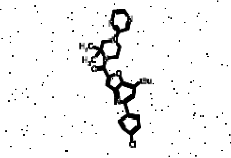 CC(C)(C)c1cc(-c2ccc(Cl)cc2)nc2cc(C(=O)N3CCN(c4cnccn4)CC3(C)C)oc12